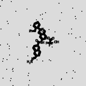 CC(C)Cc1ccccc1-c1cc2cc(NC(=O)c3ccc4cc(C=NN)ccc4c3)ccc2cn1.Cl.O=C(O)C(F)(F)F